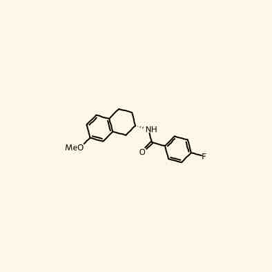 COc1ccc2c(c1)C[C@@H](NC(=O)c1ccc(F)cc1)CC2